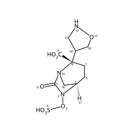 O=C1N(OS(=O)(=O)O)[C@@H]2CC[C@@](C(=O)O)(C3CNOC3)N1C2